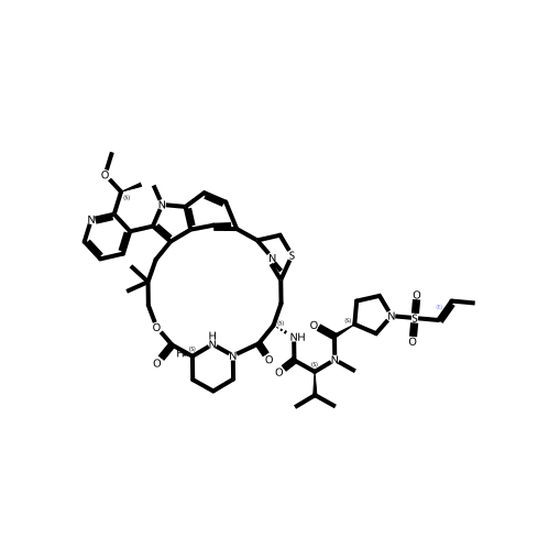 C/C=C/S(=O)(=O)N1CC[C@H](C(=O)N(C)[C@H](C(=O)N[C@H]2CC3=NC(CS3)c3ccc4c(c3)c(c(-c3cccnc3[C@H](C)OC)n4C)CC(C)(C)COC(=O)[C@@H]3CCCN(N3)C2=O)C(C)C)C1